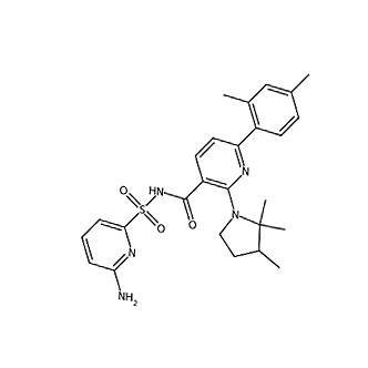 Cc1ccc(-c2ccc(C(=O)NS(=O)(=O)c3cccc(N)n3)c(N3CCC(C)C3(C)C)n2)c(C)c1